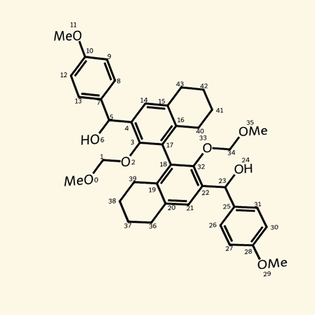 COCOc1c(C(O)c2ccc(OC)cc2)cc2c(c1-c1c3c(cc(C(O)c4ccc(OC)cc4)c1OCOC)CCCC3)CCCC2